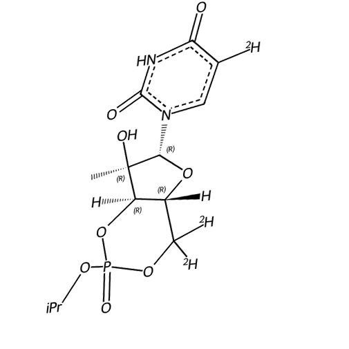 [2H]c1cn([C@@H]2O[C@H]3[C@@H](OP(=O)(OC(C)C)OC3([2H])[2H])[C@@]2(C)O)c(=O)[nH]c1=O